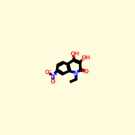 CCn1c(=O)c(O)c(O)c2ccc([N+](=O)[O-])cc21